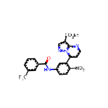 CCOC(=O)c1cnn2c(-c3cc(NC(=O)c4cccc(C(F)(F)F)c4)ccc3[N+](=O)[O-])ccnc12